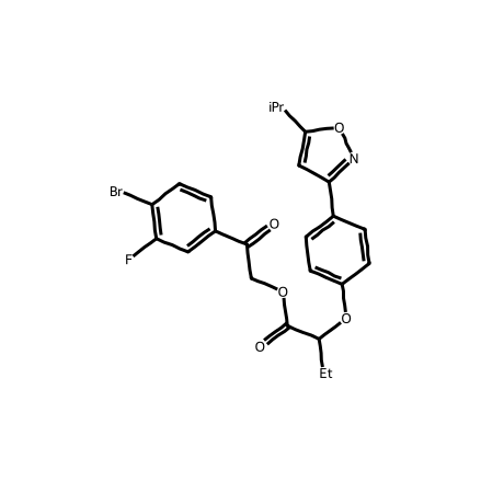 CCC(Oc1ccc(-c2cc(C(C)C)on2)cc1)C(=O)OCC(=O)c1ccc(Br)c(F)c1